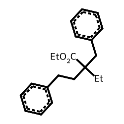 CCOC(=O)C(CC)(CCc1ccccc1)Cc1ccccc1